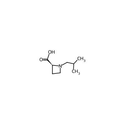 CC(C)CN1CC[C@H]1C(=O)O